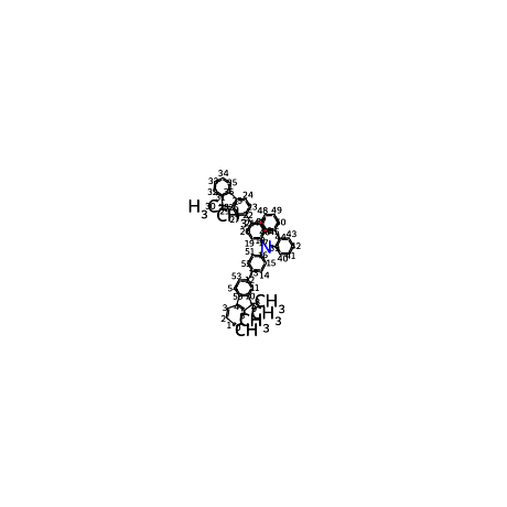 C#C/C=C\C1=C(C)C(C)(C)c2cc(-c3ccc(N(c4ccc(-c5ccc6c(c5)C(C)(C)c5ccccc5-6)cc4)c4ccccc4-c4ccccc4)cc3)ccc21